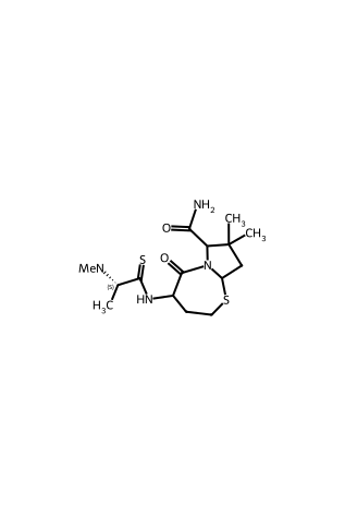 CN[C@@H](C)C(=S)NC1CCSC2CC(C)(C)C(C(N)=O)N2C1=O